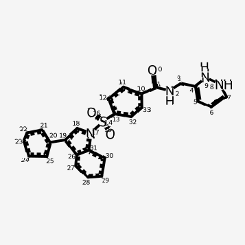 O=C(NCC1=CC=CNN1)c1ccc(S(=O)(=O)n2cc(-c3ccccc3)c3ccccc32)cc1